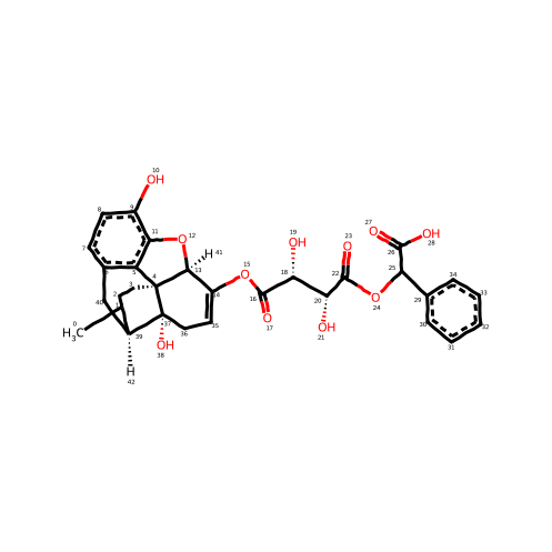 CC1CC[C@]23c4c5ccc(O)c4O[C@H]2C(OC(=O)[C@H](O)[C@@H](O)C(=O)OC(C(=O)O)c2ccccc2)=CC[C@@]3(O)[C@H]1C5